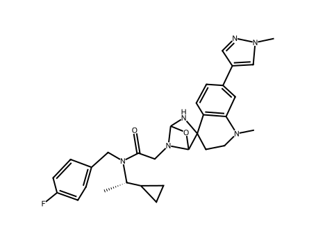 C[C@@H](C1CC1)N(Cc1ccc(F)cc1)C(=O)CN1C2NC3(CCN(C)c4cc(-c5cnn(C)c5)ccc43)C1O2